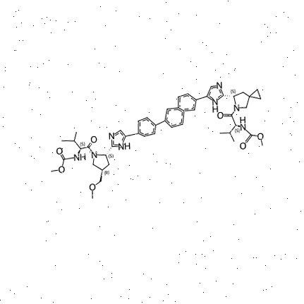 COC[C@@H]1C[C@@H](c2ncc(-c3ccc(-c4ccc5cc(-c6cnc([C@@H]7CC8(CC8)CN7C(=O)[C@@H](NC(=O)OC)C(C)C)[nH]6)ccc5c4)cc3)[nH]2)N(C(=O)[C@@H](NC(=O)OC)C(C)C)C1